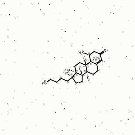 C[C@H]1CC(=O)C=C2CC[C@@H]3[C@H](CC[C@@]4(C)[C@H]3CC[C@@]4(O)CCCCO)[C@]21C